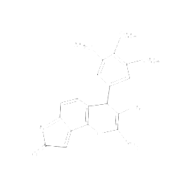 COc1cc(C2C(C#N)=C(N)Oc3c2ccc2c3=CC(=O)N=2)cc(OC)c1OC